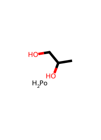 CC(O)CO.[PoH2]